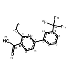 COc1nc(-c2cccc(C(F)(F)F)c2)ccc1C(=O)O